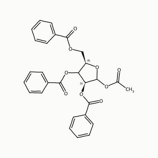 CC(=O)OC1O[C@H](COC(=O)c2ccccc2)C(OC(=O)c2ccccc2)[C@@H]1OC(=O)c1ccccc1